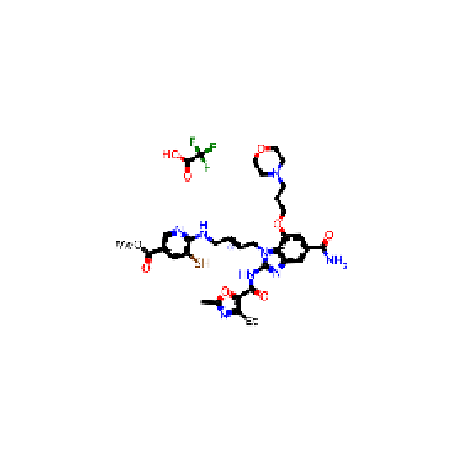 CCc1nc(C)oc1C(=O)Nc1nc2cc(C(N)=O)cc(OCCCN3CCOCC3)c2n1C/C=C/CNc1ncc(C(=O)OC)cc1S.O=C(O)C(F)(F)F